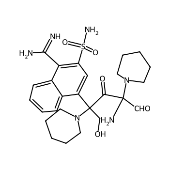 N=C(N)c1c(S(N)(=O)=O)cc(C(CO)(C(=O)C(N)(C=O)N2CCCCC2)N2CCCCC2)c2ccccc12